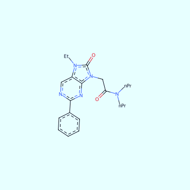 CCCN(CCC)C(=O)Cn1c(=O)n(CC)c2cnc(-c3ccccc3)nc21